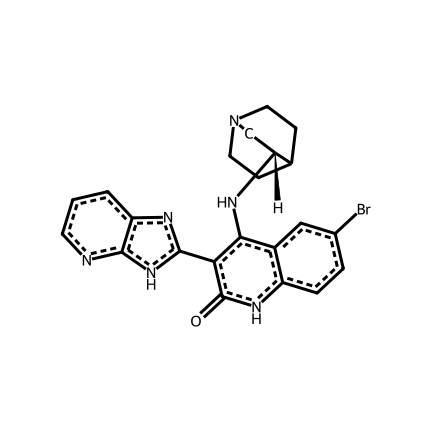 O=c1[nH]c2ccc(Br)cc2c(N[C@@H]2CN3CCC2CC3)c1-c1nc2cccnc2[nH]1